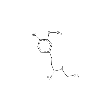 CCN[C@H](C)CCc1ccc(O)c(OC)c1